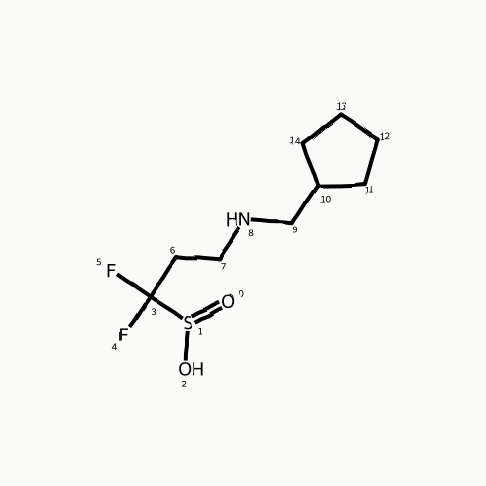 O=S(O)C(F)(F)CCNCC1CCCC1